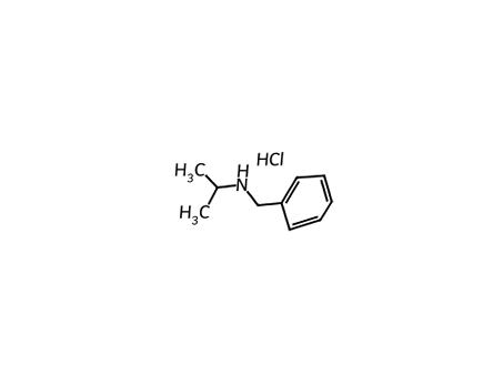 CC(C)NCc1ccccc1.Cl